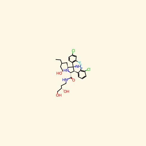 CCC(CCO)C[C@@H]1N[C@@H](C(=O)NCC[C@H](O)CO)[C@H](c2cccc(Cl)c2F)[C@@]1(N)c1ccc(Cl)cc1F